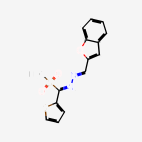 CS(=O)(=O)/C(=N\N=Cc1cc2ccccc2o1)c1cccs1